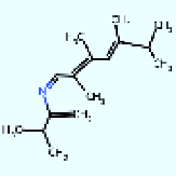 C=C(\N=C/C(C)=C(C)/C=C(\C)C(C)C)C(C)C